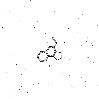 O=Cc1cc2ccccc2c2c1C=CC2